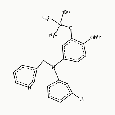 COc1ccc(N(Cc2cccnc2)c2cccc(Cl)c2)cc1O[Si](C)(C)C(C)(C)C